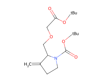 C=C1CCN(C(=O)OC(C)(C)C)C1COCC(=O)OC(C)(C)C